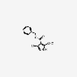 CCc1c[nH]c(C=O)c1C(=O)OCc1ccccc1